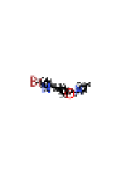 CC1CCN(CCOc2ccc(C#Cc3ccc(Br)cn3)cc2)CC1